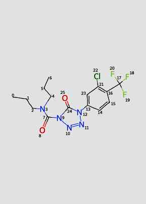 CCCN(CCC)C(=O)n1nnn(-c2ccc(C(F)(F)F)c(Cl)c2)c1=O